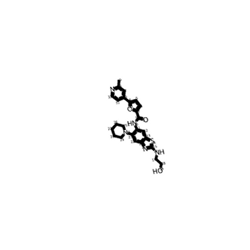 Cc1cc(-c2ccc(C(=O)Nc3cc4sc(NCCO)nc4cc3N3CCCCC3)o2)ccn1